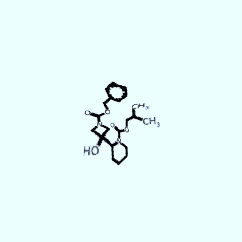 CC(C)COC(=O)N1CCCCC1C1(O)CN(C(=O)OCc2ccccc2)C1